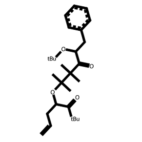 C=CCC(OC(C)(C)C(C)(C)C(=O)C(Cc1ccccc1)OC(C)(C)C)C(=O)C(C)(C)C